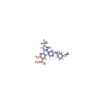 COc1ncc(-c2cnc(Nc3cccc(C#N)c3)nc2N2C=CC(C(F)(F)F)N2)cc1C(=O)O